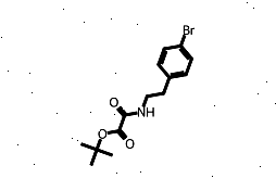 CC(C)(C)OC(=O)C(=O)NCCc1ccc(Br)cc1